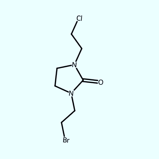 O=C1N(CCCl)CCN1CCBr